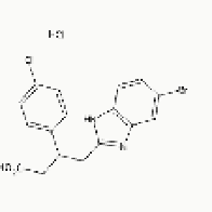 Cl.O=C(O)CC(Cc1nc2cc(Br)ccc2[nH]1)c1ccc(Cl)cc1